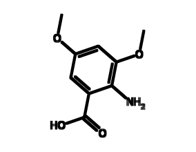 COc1cc(OC)c(N)c(C(=O)O)c1